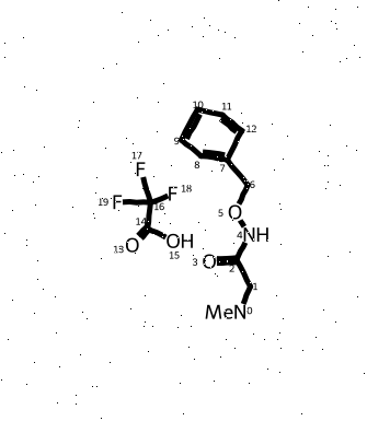 CNCC(=O)NOCc1ccccc1.O=C(O)C(F)(F)F